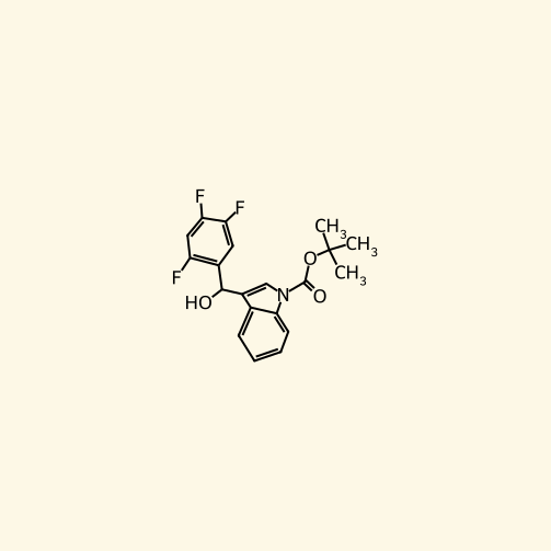 CC(C)(C)OC(=O)n1cc(C(O)c2cc(F)c(F)cc2F)c2ccccc21